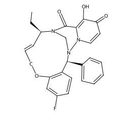 CC[C@@H]1/C=C/COc2cc(F)ccc2[C@H](c2ccccc2)N2CN1C(=O)c1c(O)c(=O)ccn12